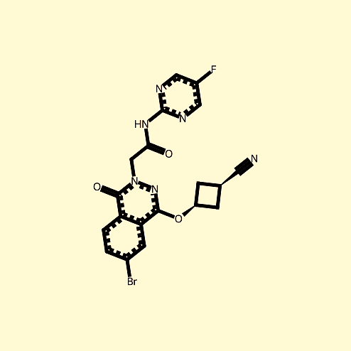 N#C[C@H]1C[C@@H](Oc2nn(CC(=O)Nc3ncc(F)cn3)c(=O)c3ccc(Br)cc23)C1